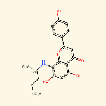 O=C[C@@H](CCC(=O)O)Nc1c(O)cc(O)c2c(=O)cc(-c3ccc(O)cc3)oc12